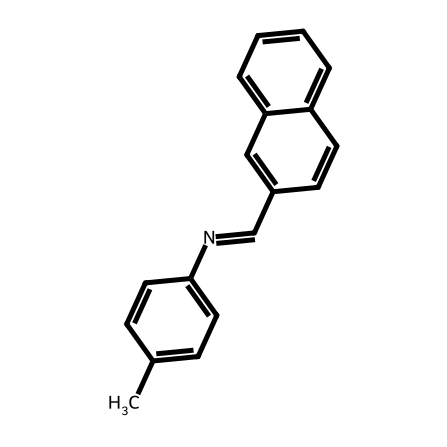 Cc1ccc(N=Cc2ccc3ccccc3c2)cc1